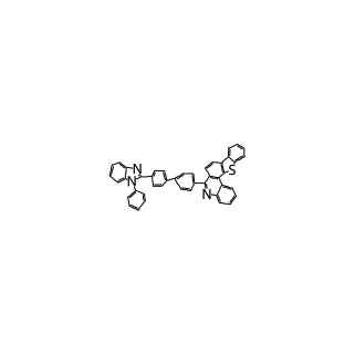 c1ccc(-n2c(-c3ccc(-c4ccc(-c5nc6ccccc6c6c5ccc5c7ccccc7sc56)cc4)cc3)nc3ccccc32)cc1